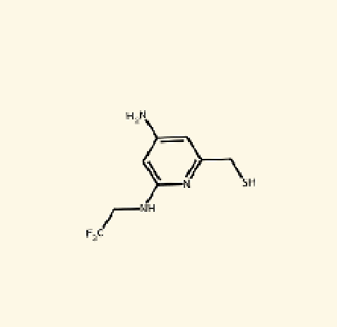 Nc1cc(CS)nc(NCC(F)(F)F)c1